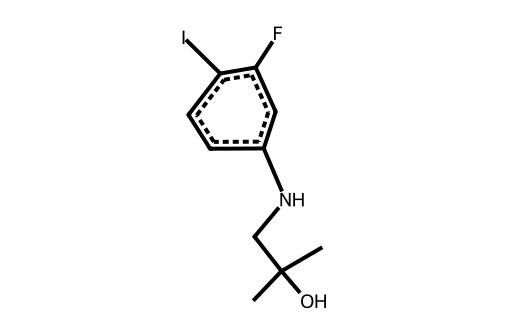 CC(C)(O)CNc1ccc(I)c(F)c1